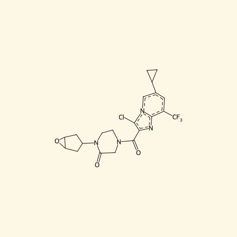 O=C(c1nc2c(C(F)(F)F)cc(C3CC3)cn2c1Cl)N1CCN(C2CC3OC3C2)C(=O)C1